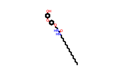 CCCCCCCCCCCCCCCCCCNC(=O)NCCOc1ccc(Oc2ccc(O)cc2)cc1